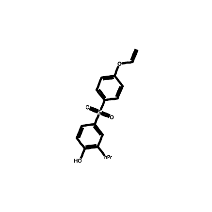 C=COc1ccc(S(=O)(=O)c2ccc(O)c(CCC)c2)cc1